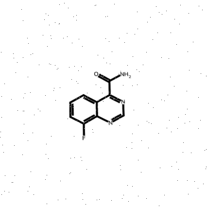 NC(=O)c1ncnc2c(F)cccc12